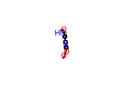 CCOCCOc1ccc(N2CCC(c3ccc([C@H](C)NC(C)=O)cc3)CC2)cc1